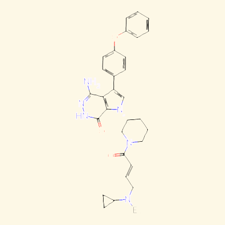 CCN(CC=CC(=O)N1CCC[C@@H](n2cc(-c3ccc(Oc4ccccc4)cc3)c3c(N)n[nH]c(=O)c32)C1)C1CC1